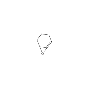 C1=C2OC2CCC1